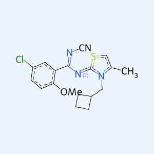 COc1ccc(Cl)cc1C(=NC#N)/N=c1\scc(C)n1CC1CCC1